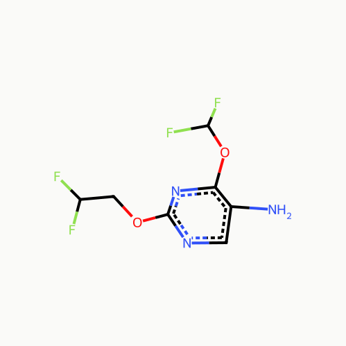 Nc1cnc(OCC(F)F)nc1OC(F)F